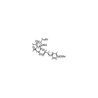 CC[C@@H]1C[C@]2(CO2)[C@@H]([C@]2(C)O[C@H]2CCC(C)C)[C@H](OC)[C@@H]1OC(=O)C=Cc1ccc(OC)cc1